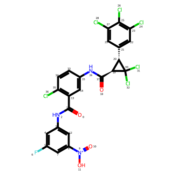 O=C(Nc1cc(F)cc([N+](=O)O)c1)c1cc(NC(=O)[C@H]2[C@H](c3cc(Cl)c(Cl)c(Cl)c3)C2(Cl)Cl)ccc1Cl